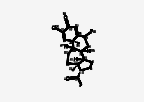 CC(=O)[C@H]1CC[C@H]2[C@@H]3CC(F)C4=CC(=O)C(Cl)=C[C@]4(C)[C@H]3CC[C@]12C